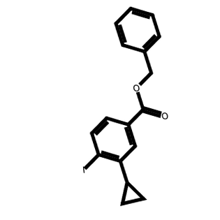 O=C(OCc1ccccc1)c1ccc(I)c(C2CC2)c1